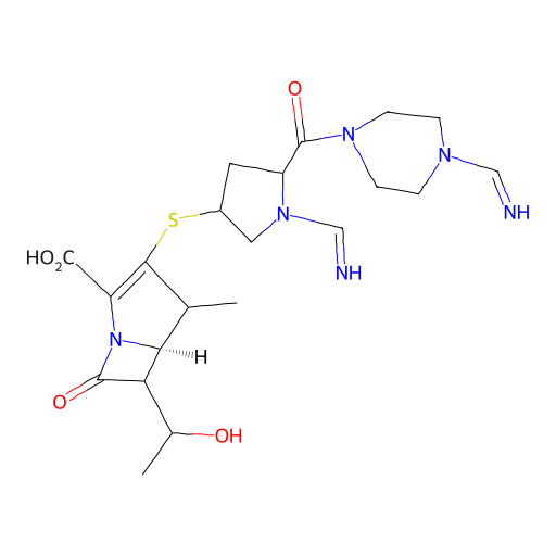 CC(O)C1C(=O)N2C(C(=O)O)=C(SC3CC(C(=O)N4CCN(C=N)CC4)N(C=N)C3)C(C)[C@@H]12